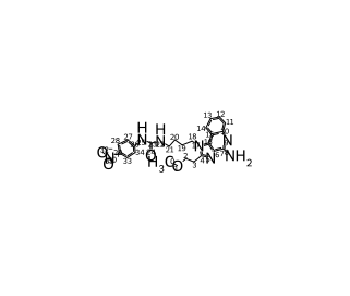 COCCc1nc2c(N)nc3ccccc3c2n1CCCCNC(=O)Nc1ccc([N+](=O)[O-])cc1